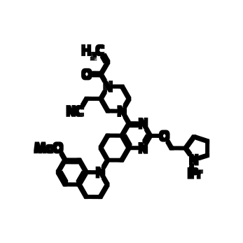 C=CC(=O)N1CCN(c2nc(OCC3CCCN3C(C)C)nc3c2CCC(N2CCCc4ccc(OC)cc42)C3)CC1CC#N